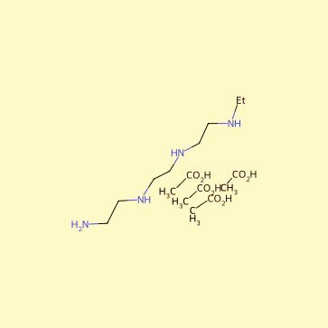 CC(=O)O.CC(=O)O.CC(=O)O.CC(=O)O.CCNCCNCCNCCN